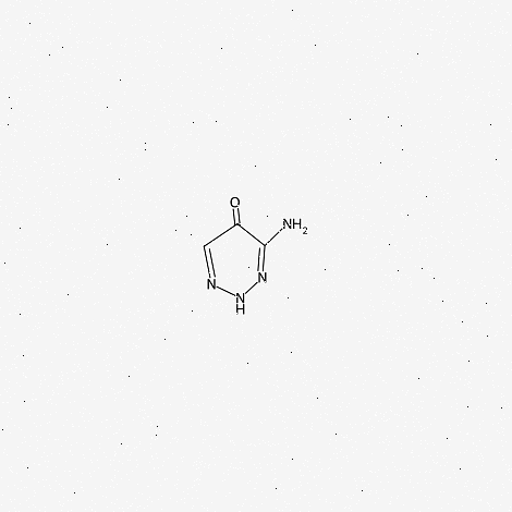 Nc1n[nH]ncc1=O